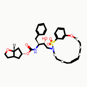 O=C(N[C@@H](Cc1ccccc1)[C@H](O)CN1CCCC/C=C\CCCCOc2cccc(c2)S1(=O)=O)O[C@@H]1CC2CCO[C@@H]2C1